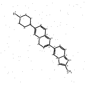 CCN1CCC(C2=CN3CC=C(c4ccc5nc(C)cn5c4)N=C3C=C2)CC1